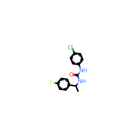 CC(NC(=O)Nc1ccc(Cl)cc1)c1ccc(F)cc1